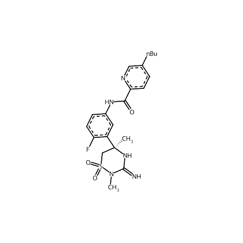 CCCCc1ccc(C(=O)Nc2ccc(F)c([C@]3(C)CS(=O)(=O)N(C)C(=N)N3)c2)nc1